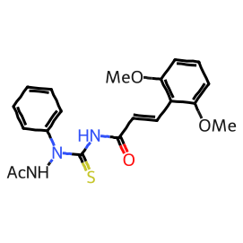 COc1cccc(OC)c1C=CC(=O)NC(=S)N(NC(C)=O)c1ccccc1